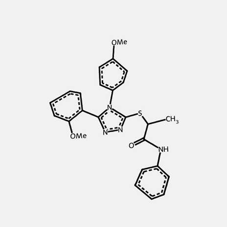 COc1ccc(-n2c(SC(C)C(=O)Nc3ccccc3)nnc2-c2ccccc2OC)cc1